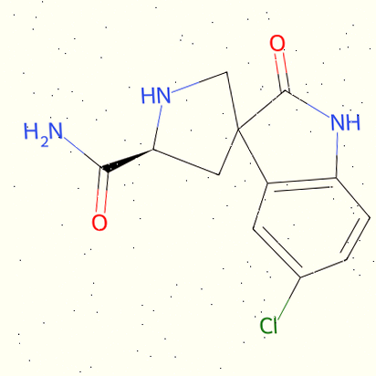 NC(=O)[C@@H]1CC2(CN1)C(=O)Nc1ccc(Cl)cc12